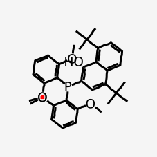 COc1cccc(OC)c1P(c1cc(C(C)(C)C)c2cccc(C(C)(C)C)c2c1O)c1c(OC)cccc1OC